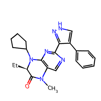 CC[C@@H]1C(=O)N(C)c2cnc(-c3n[nH]cc3-c3ccccc3)nc2N1C1CCCC1